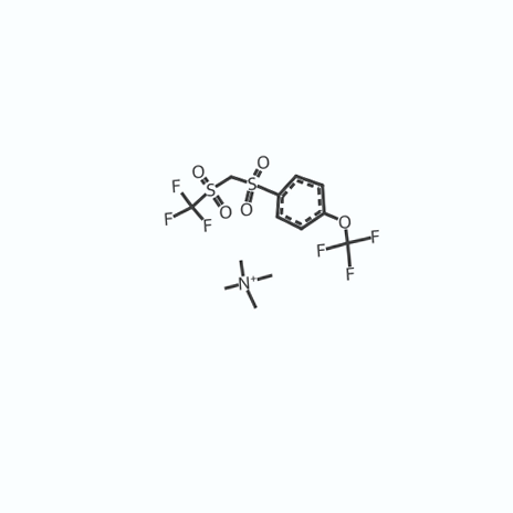 C[N+](C)(C)C.O=S(=O)(CS(=O)(=O)C(F)(F)F)c1ccc(OC(F)(F)F)cc1